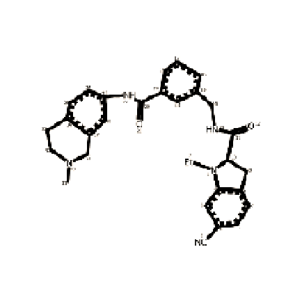 CCN1c2cc(C#N)ccc2CC1C(=O)NCc1cccc(C(=O)Nc2ccc3c(c2)CN(C)CC3)c1